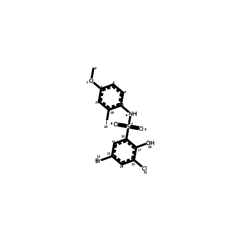 COc1ccc(NS(=O)(=O)c2cc(Br)cc(Cl)c2O)c(I)c1